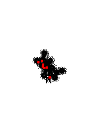 N#Cc1ccc(-c2c(-c3nc(-c4ccccc4)cc(-c4ccccc4)n3)ccc(N3c4ccccc4N(c4nc(-c5ccccc5)cc(-c5ccccc5)n4)c4ccccc43)c2-c2nc(-c3ccccc3)nc(-c3ccccc3)n2)cc1